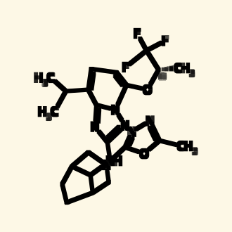 Cc1nnc(N2CC3CCC(C2)C3Nc2nc3c(C(C)C)ccc(O[C@@H](C)C(F)(F)F)n3n2)o1